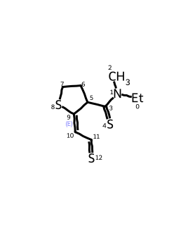 CCN(C)C(=S)C1CCS/C1=C/C=S